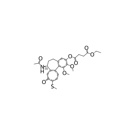 CCOC(=O)CCC(=O)Oc1cc2c(c(OC)c1OC)-c1ccc(SC)c(=O)cc1[C@@H](NC(C)=O)CC2